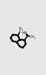 CC(=N)c1cccc2cccc(C)c12